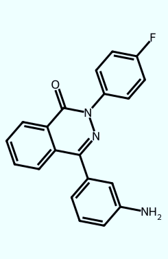 Nc1cccc(-c2nn(-c3ccc(F)cc3)c(=O)c3ccccc23)c1